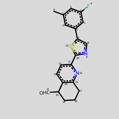 Cc1cc(F)cc(-c2cnc(-c3ccc4c(n3)CCCC4C=O)s2)c1